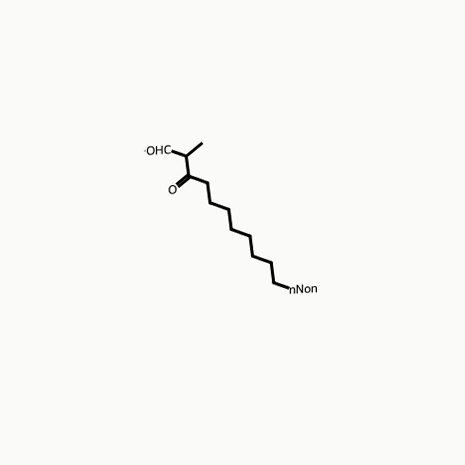 CCCCCCCCCCCCCCCCCC(=O)C(C)[C]=O